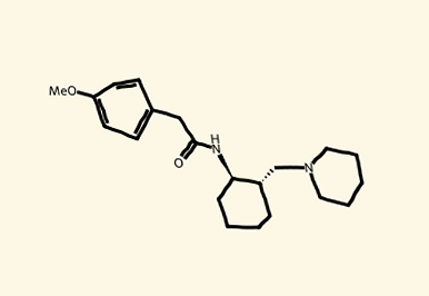 COc1ccc(CC(=O)N[C@@H]2CCCC[C@H]2CN2CCCCC2)cc1